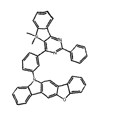 C[Si]1(C)c2ccccc2-c2nc(-c3ccccc3)nc(-c3cccc(-n4c5ccccc5c5cc6oc7ccccc7c6cc54)c3)c21